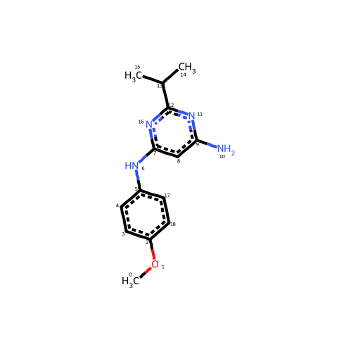 COc1ccc(Nc2cc(N)nc(C(C)C)n2)cc1